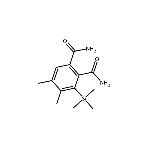 Cc1cc(C(N)=O)c(C(N)=O)c([Si](C)(C)C)c1C